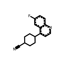 N#CC1CCC(c2ccnc3ccc(F)cc23)CC1